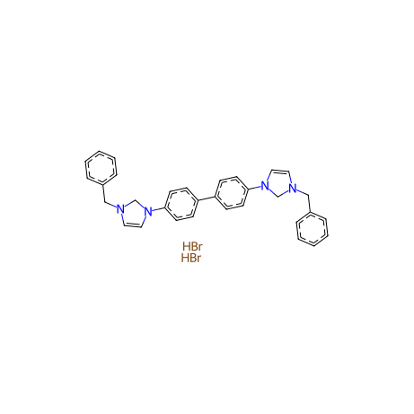 Br.Br.C1=CN(c2ccc(-c3ccc(N4C=CN(Cc5ccccc5)C4)cc3)cc2)CN1Cc1ccccc1